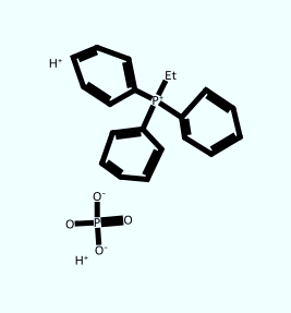 CC[P+](c1ccccc1)(c1ccccc1)c1ccccc1.O=P([O-])([O-])[O-].[H+].[H+]